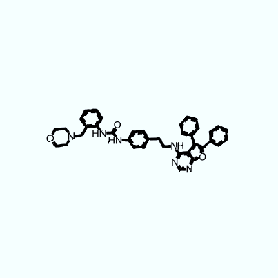 O=C(Nc1ccc(CCNc2ncnc3oc(-c4ccccc4)c(-c4ccccc4)c23)cc1)Nc1ccccc1CN1CCOCC1